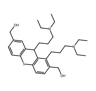 CCN(CC)CCCc1c(CO)ccc2c1C(CCCN(CC)CC)c1cc(CO)ccc1S2